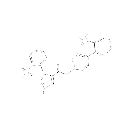 Cc1cc(C(=O)Nc2ccc(-c3ccccc3S(N)(=O)=O)cc2)n(-c2ccccc2S(N)(=O)=O)n1